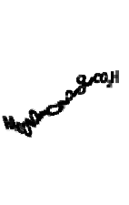 COCCOCCOCCOCCOC(=O)CCC(=O)O